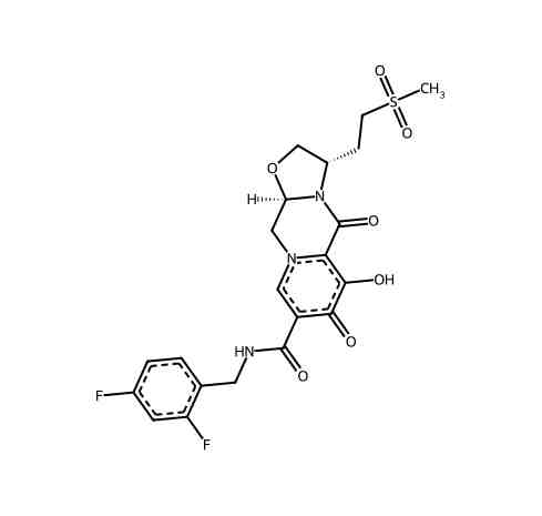 CS(=O)(=O)CC[C@H]1CO[C@@H]2Cn3cc(C(=O)NCc4ccc(F)cc4F)c(=O)c(O)c3C(=O)N12